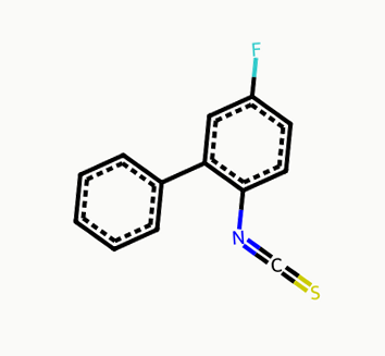 Fc1ccc(N=C=S)c(-c2ccccc2)c1